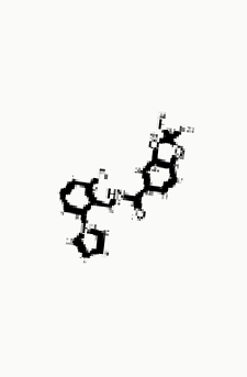 O=C(NCc1c(F)cccc1-n1cccc1)c1ccc2c(c1)OC(F)(F)O2